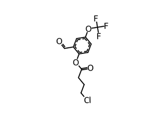 O=Cc1cc(OC(F)(F)F)ccc1OC(=O)CCCCl